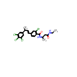 O=C(CC(NC(=O)c1ccc(/C=C/C(c2cc(Cl)c(Cl)c(Cl)c2)C(F)(F)F)cc1Br)C(F)(F)F)NCC(F)(F)F